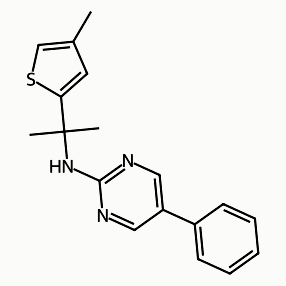 Cc1csc(C(C)(C)Nc2ncc(-c3ccccc3)cn2)c1